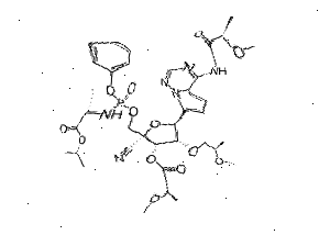 CO[C@H](C)CO[C@H]1[C@H](c2ccc3c(NC(=O)[C@@H](C)OC)ncnn23)O[C@](C#N)(COP(=O)(N[C@@H](C)C(=O)OC(C)C)Oc2ccccc2)[C@H]1OC(=O)[C@@H](C)OC